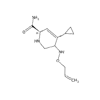 C=CCONC1CN[C@@H](C(N)=O)C=C1C1CC1